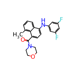 Cc1cccc2c(Nc3cc(F)cc(F)c3)ccc(C(=O)N3CCOCC3)c12